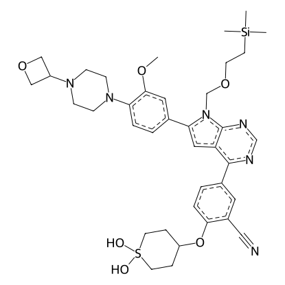 COc1cc(-c2cc3c(-c4ccc(OC5CCS(O)(O)CC5)c(C#N)c4)ncnc3n2COCC[Si](C)(C)C)ccc1N1CCN(C2COC2)CC1